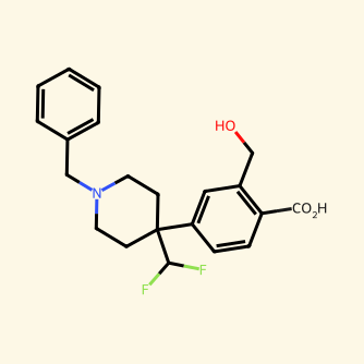 O=C(O)c1ccc(C2(C(F)F)CCN(Cc3ccccc3)CC2)cc1CO